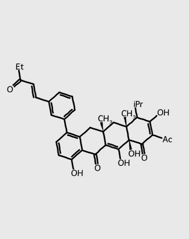 CCC(=O)/C=C/c1cccc(-c2ccc(O)c3c2C[C@]2(C)C[C@]4(C)C(C(C)C)C(O)=C(C(C)=O)C(=O)[C@]4(O)C(O)=C2C3=O)c1